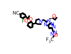 CC1(c2ccc(C#N)cc2F)Oc2cccc(C3CCN(Cc4nc5cc(-c6noc(C(F)(F)F)n6)nnc5n4C[C@@H]4CCO4)CC3)c2O1